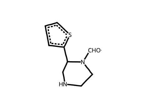 O=[C]N1CCNCC1c1cccs1